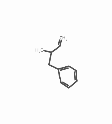 [CH2]C(C=C)Cc1ccccc1